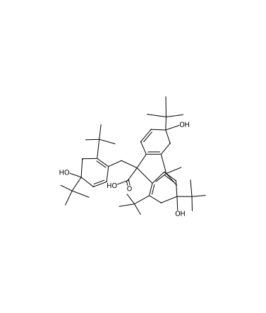 CC(C)(C)C1=C(CC(C(=O)O)(C2=C(C(C)(C)C)CC(O)(C(C)(C)C)C=C2)C2=C(C(C)(C)C)CC(O)(C(C)(C)C)C=C2)C=CC(O)(C(C)(C)C)C1